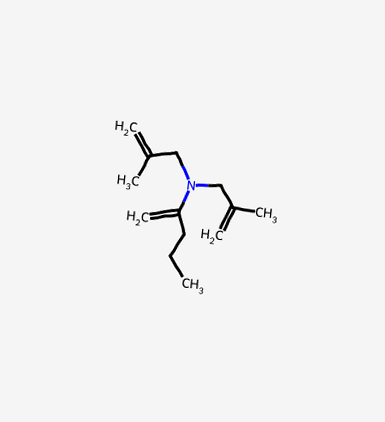 C=C(C)CN(CC(=C)C)C(=C)CCC